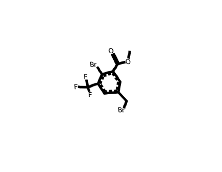 COC(=O)c1cc(CBr)cc(C(F)(F)F)c1Br